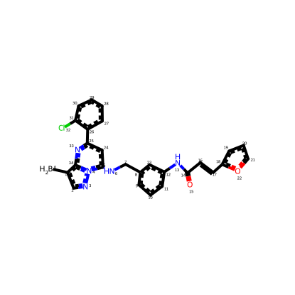 Bc1cnn2c(NCc3cccc(NC(=O)/C=C/c4ccco4)c3)cc(-c3ccccc3Cl)nc12